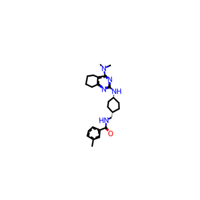 Cc1cccc(C(=O)NC[C@H]2CC[C@@H](Nc3nc4c(c(N(C)C)n3)CCCC4)CC2)c1